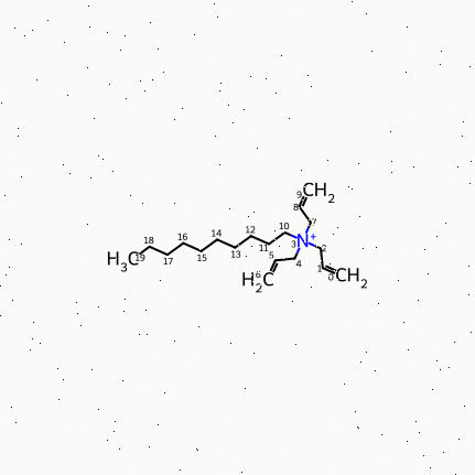 C=CC[N+](CC=C)(CC=C)CCCCCCCCCC